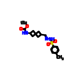 Cc1ccc(S(=O)(=O)NN=CC2CC3(C2)CC(NC(=O)OC(C)(C)C)C3)cc1